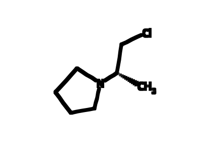 C[C@@H](CCl)N1CCCC1